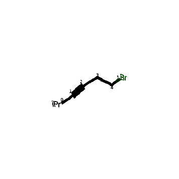 CC(C)C#CCCBr